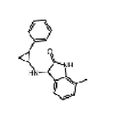 Cc1cccc2c1NC(=O)C2NC1CC1c1ccccc1